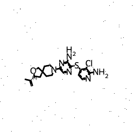 C=C(C)[C@H]1CC2(CCN(c3cnc(Sc4ccnc(N)c4Cl)c(N)n3)CC2)CO1